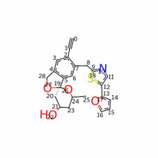 C#Cc1cc2c(cc1Cc1ncc(-c3ccco3)s1)[C@]1(CC(O)CC(C)O1)OC2